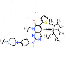 CC(C)[Si](C#Cc1c(-c2cccs2)c(=O)n(C)c2nc(Nc3ccc(N4CCN(C)CC4)cc3)ncc12)(C(C)C)C(C)C